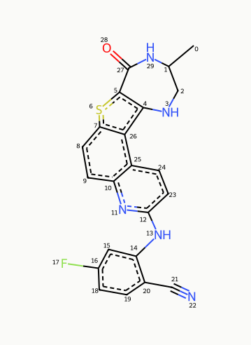 CC1CNc2c(sc3ccc4nc(Nc5cc(F)ccc5C#N)ccc4c23)C(=O)N1